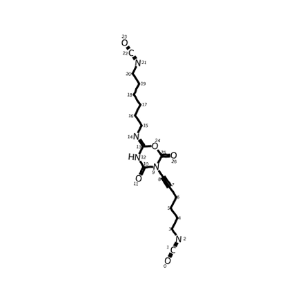 O=C=NCCCCC#Cn1c(=O)[nH]c(=NCCCCCCN=C=O)oc1=O